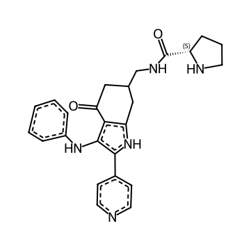 O=C1CC(CNC(=O)[C@@H]2CCCN2)Cc2[nH]c(-c3ccncc3)c(Nc3ccccc3)c21